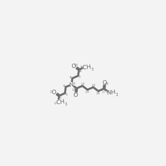 CC(=O)CCN(CCC(C)=O)C(=O)CCCCC(N)=O